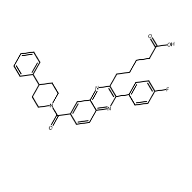 O=C(O)CCCCc1nc2cc(C(=O)N3CCC(c4ccccc4)CC3)ccc2nc1-c1ccc(F)cc1